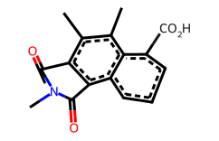 Cc1c2c(c3cccc(C(=O)O)c3c1C)C(=O)N(C)C2=O